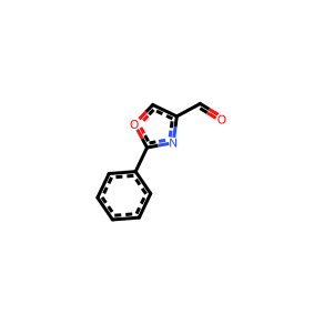 O=Cc1coc(-c2ccccc2)n1